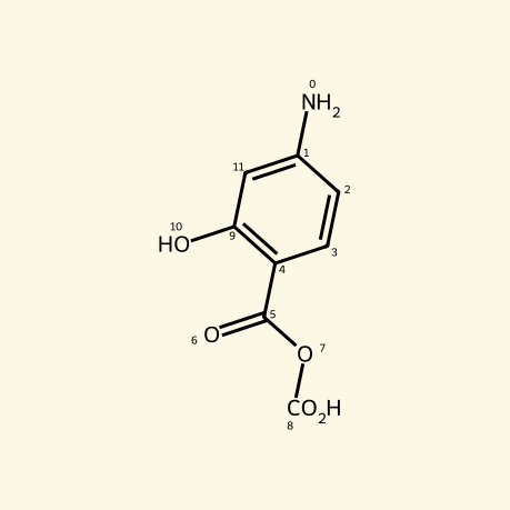 Nc1ccc(C(=O)OC(=O)O)c(O)c1